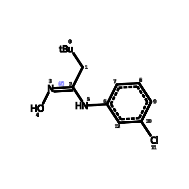 CC(C)(C)C/C(=N/O)Nc1cccc(Cl)c1